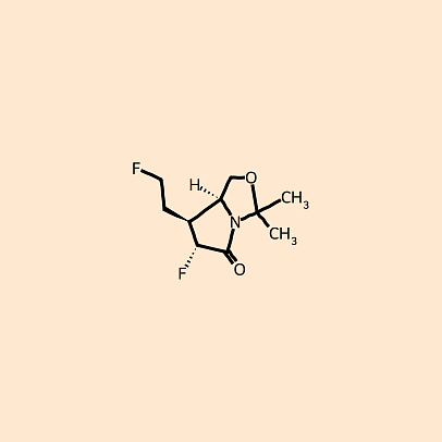 CC1(C)OC[C@@H]2[C@H](CCF)[C@@H](F)C(=O)N21